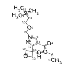 CCOC(=O)c1cn(COCC[Si](C)(C)C)nc1C1(O)COC1